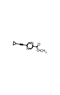 COC(=O)c1cnc(C#CC2CC2)cn1